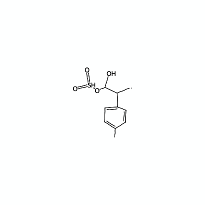 [CH2]C(c1ccc(C)cc1)C(O)O[SH](=O)=O